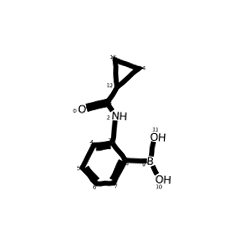 O=C(Nc1ccccc1B(O)O)C1CC1